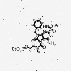 CCCS(=N)(=O)c1nc(N)c2c(n1)n(Cc1ccccc1)c(=O)n2C(=O)N(C)CCOC(=O)OCC